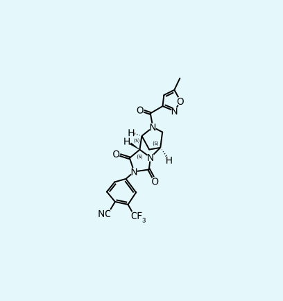 Cc1cc(C(=O)N2C[C@@H]3C[C@H]2[C@H]2C(=O)N(c4ccc(C#N)c(C(F)(F)F)c4)C(=O)N32)no1